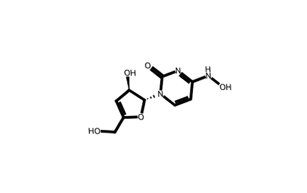 O=c1nc(NO)ccn1[C@@H]1OC(CO)=C[C@H]1O